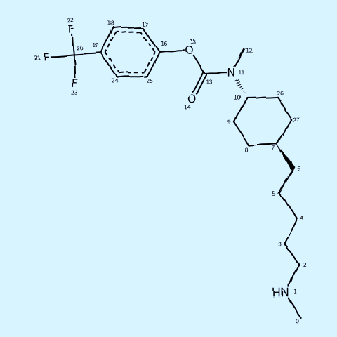 CNCCCCC[C@H]1CC[C@H](N(C)C(=O)Oc2ccc(C(F)(F)F)cc2)CC1